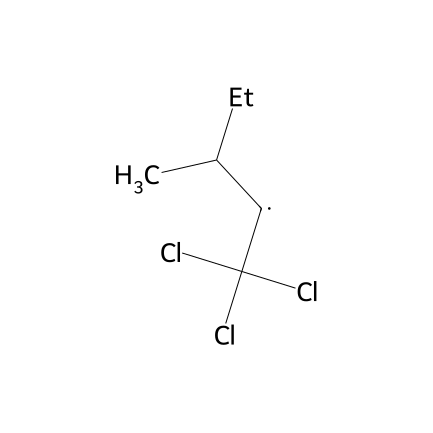 CCC(C)[CH]C(Cl)(Cl)Cl